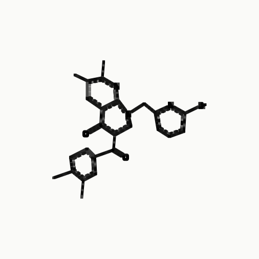 Cc1ccc(C(=O)c2cn(Cc3cccc(Br)n3)c3nc(C)c(C)cc3c2=O)cc1C